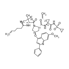 C=CCCCC(=O)N[C@@H](C(=O)N1C[C@H](Oc2cc(-c3ccccc3)nc3cc(OC)ccc23)C[C@H]1C(=O)N[C@]1(C(=O)NS(=O)(=O)C2CC2)C[C@H]1C=C)C(C)(C)C